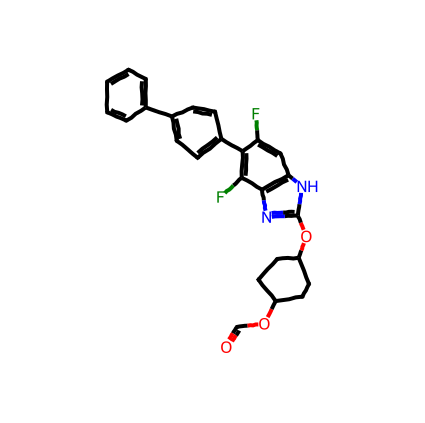 O=COC1CCC(Oc2nc3c(F)c(-c4ccc(-c5ccccc5)cc4)c(F)cc3[nH]2)CC1